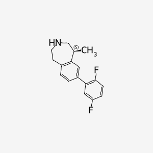 C[C@@H]1CNCCc2ccc(-c3cc(F)ccc3F)cc21